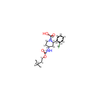 C[Si](C)(C)CCOC(=O)NC1CCN(C(=O)O)C(c2ccccc2F)C1